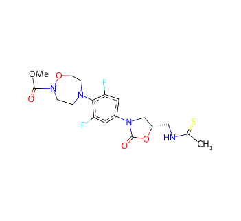 COC(=O)N1CCN(c2c(F)cc(N3C[C@H](CNC(C)=S)OC3=O)cc2F)CCO1